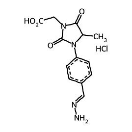 CC1C(=O)N(CC(=O)O)C(=O)N1c1ccc(C=NN)cc1.Cl